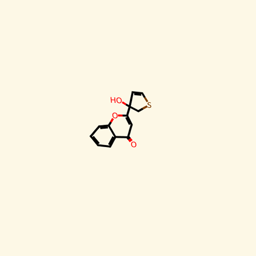 O=c1cc(C2(O)C=CSC2)oc2ccccc12